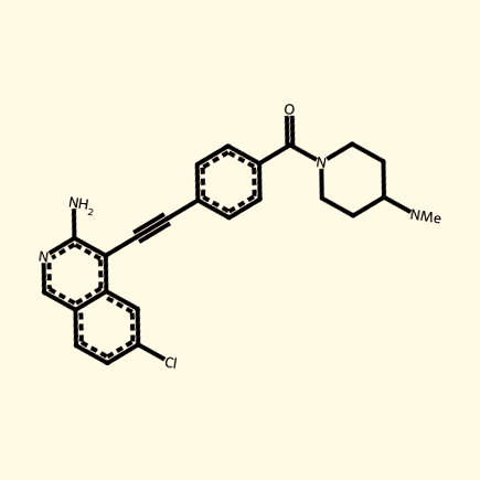 CNC1CCN(C(=O)c2ccc(C#Cc3c(N)ncc4ccc(Cl)cc34)cc2)CC1